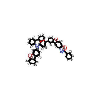 c1ccc(-c2nc3cc4c(cc3o2)oc2ccc(-c3ccc(N(c5ccc6c(c5)oc5ccccc56)c5ccccc5-c5ccccc5)cc3)cc24)cc1